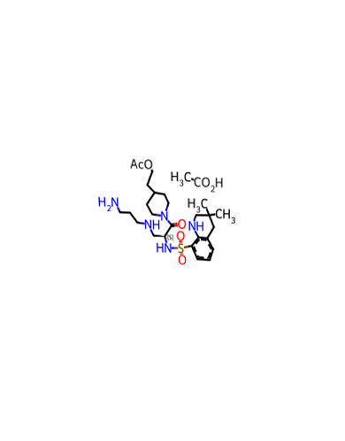 CC(=O)O.CC(=O)OCCC1CCN(C(=O)[C@H](CNCCCN)NS(=O)(=O)c2cccc3c2NCC(C)(C)C3)CC1